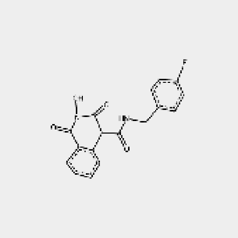 O=C(NCc1ccc(F)cc1)C1C(=O)N(O)C(=O)c2ccccc21